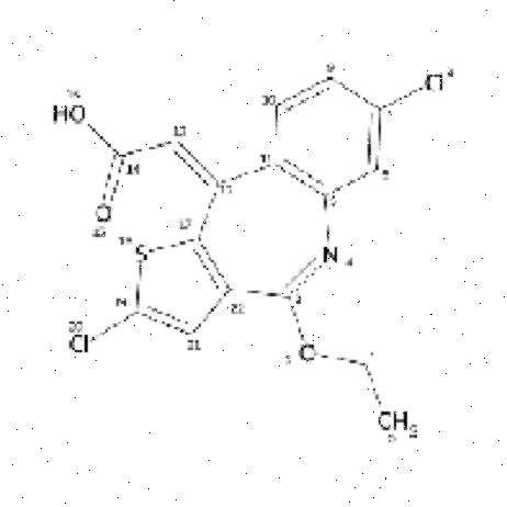 CCOC1=Nc2cc(Cl)ccc2/C(=C/C(=O)O)c2sc(Cl)cc21